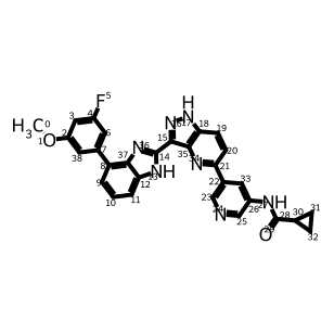 COc1cc(F)cc(-c2cccc3[nH]c(-c4n[nH]c5ccc(-c6cncc(NC(=O)C7CC7)c6)nc45)nc23)c1